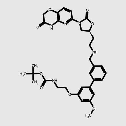 COc1cc(OCCNC(=O)OC(C)(C)C)cc(-c2cccc(CNCC[C@H]3CN(c4ccc5c(n4)NC(=O)CO5)C(=O)O3)c2)c1